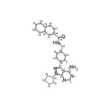 Nc1ncnc2c1c(-c1ccc(CNC(=O)c3ccc4ccccc4c3)cc1)nn2C1CCCC1